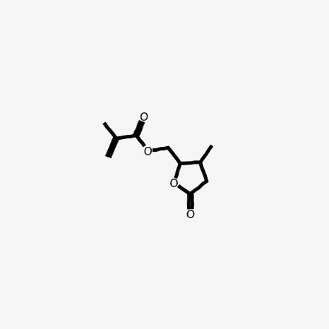 C=C(C)C(=O)OCC1OC(=O)CC1C